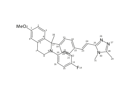 COc1ccc2c(c1)CCN(c1ccc(F)cc1)C2(C)c1ccc(C=Cc2nnc(C)n2C)cc1